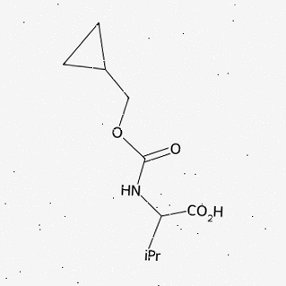 CC(C)C(NC(=O)OCC1CC1)C(=O)O